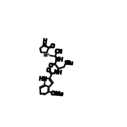 COc1cccc2[nH]c(C(=O)NC(CC(C)(C)C)C(=O)NC(C#N)C[C@@H]3CCNC3=O)cc12